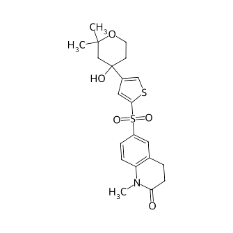 CN1C(=O)CCc2cc(S(=O)(=O)c3cc(C4(O)CCOC(C)(C)C4)cs3)ccc21